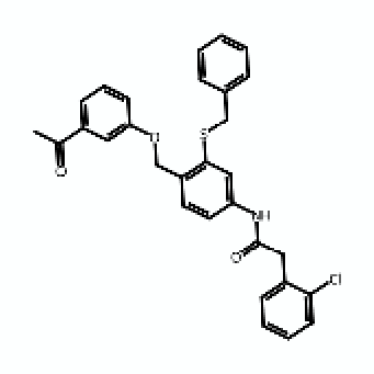 CC(=O)c1cccc(OCc2ccc(NC(=O)Cc3ccccc3Cl)cc2SCc2ccccc2)c1